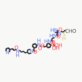 CN(C(=O)C(S)CC=O)C1(C(=O)NCCC(=O)Nc2cc(COC(=O)Nc3cccc(C(=O)N4CCC(CCCCNC(=O)/C=C/c5cccnc5)CC4)c3)ccc2OC(O)O)CNC1